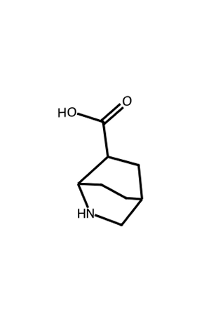 O=C(O)C1CC2CCC1NC2